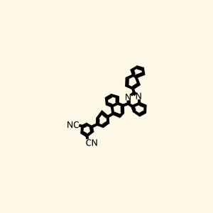 N#Cc1cc(C#N)cc(-c2ccc(-c3ccc(-c4nc(-c5ccc6ccccc6c5)nc5ccccc45)c4ccccc34)cc2)c1